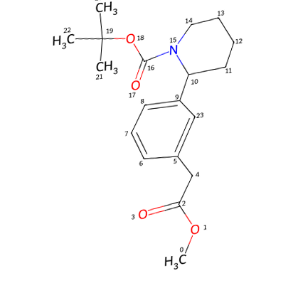 COC(=O)Cc1cccc(C2CCCCN2C(=O)OC(C)(C)C)c1